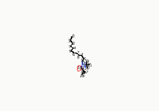 CCCCC/C=C\CC/C=C\CN(C(=O)C1CC1)C(C)(C)C